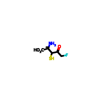 N[C@H](C(=O)O)C(S)C(=O)CF